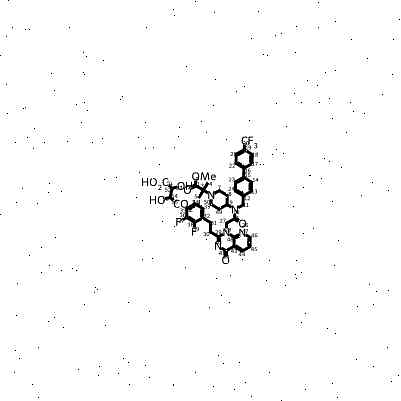 COC(=O)C(C)(C)N1CCC(N(Cc2ccc(-c3ccc(C(F)(F)F)cc3)cc2)C(=O)Cn2c(CCc3cccc(F)c3F)nc(=O)c3cccnc32)CC1.O=C(O)C(O)C(O)C(=O)O